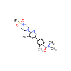 Cc1cc(-c2cnc(N3CCN(S(=O)(=O)C(C)C)CC3)c(C#N)c2)ccc1C(=O)N(C)C